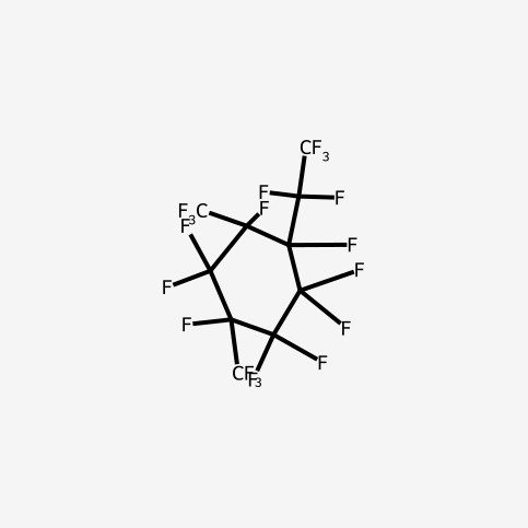 FC(F)(F)C(F)(F)C1(F)C(F)(F)C(F)(F)C(F)(C(F)(F)F)C(F)(F)C1(F)C(F)(F)F